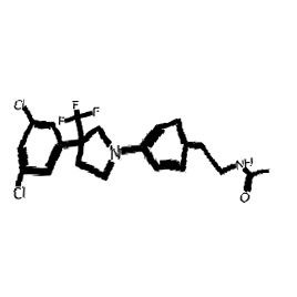 CC(=O)NCCc1ccc(N2CCC(c3cc(Cl)cc(Cl)c3)(C(F)(F)F)C2)cc1